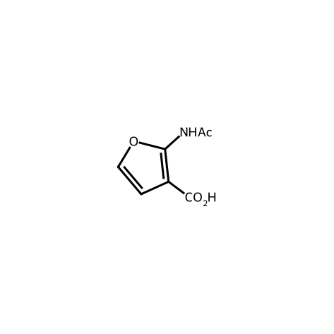 CC(=O)Nc1occc1C(=O)O